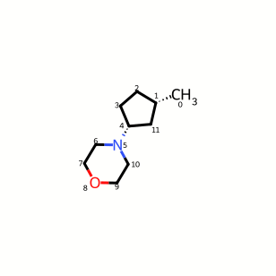 C[C@H]1CC[C@@H](N2CCOCC2)C1